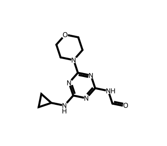 O=CNc1nc(NC2CC2)nc(N2CCOCC2)n1